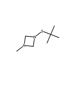 CN1CN(SC(C)(C)C)C1